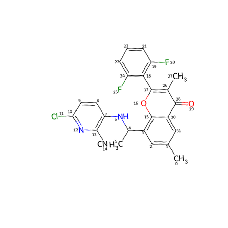 Cc1cc(C(C)Nc2ccc(Cl)nc2C#N)c2oc(-c3c(F)cccc3F)c(C)c(=O)c2c1